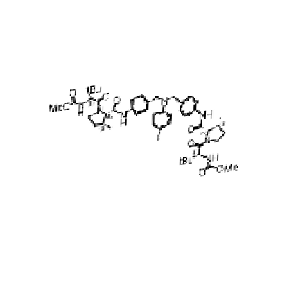 COC(=O)N[C@H](C(=O)N1CC[C@H](C)[C@H]1C(=O)Nc1ccc(CN(Cc2ccc(NC(=O)[C@@H]3[C@@H](C)CCN3C(=O)[C@@H](NC(=O)OC)C(C)(C)C)cc2)c2ccc(F)cc2)cc1)C(C)(C)C